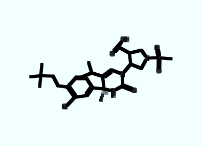 CC(C)C1=CN(C2CN(S(C)(=O)=O)CC2C(=O)O)C(=O)N[C@@]1(C)c1ccc(CCC(C)(C)C)c(Cl)c1